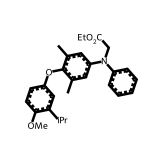 CCOC(=O)CN(c1ccccc1)c1cc(C)c(Oc2ccc(OC)c(C(C)C)c2)c(C)c1